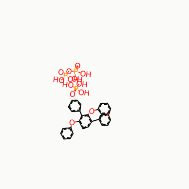 O=P(O)(O)O.O=P(O)(O)OP(=O)(O)O.c1ccc(Oc2ccc(-c3ccccc3)c(Oc3ccccc3)c2-c2ccccc2)cc1